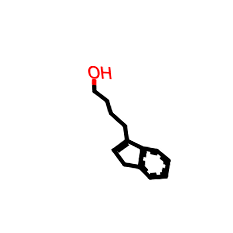 OCCCCC1=CCc2ccccc21